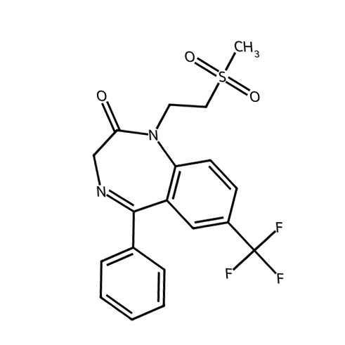 CS(=O)(=O)CCN1C(=O)CN=C(c2ccccc2)c2cc(C(F)(F)F)ccc21